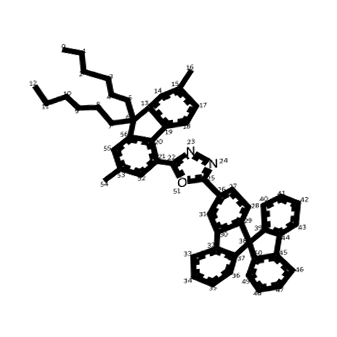 CCCCCCC1(CCCCCC)c2cc(C)ccc2-c2c(-c3nnc(-c4ccc5c(c4)-c4ccccc4C54c5ccccc5-c5ccccc54)o3)cc(C)cc21